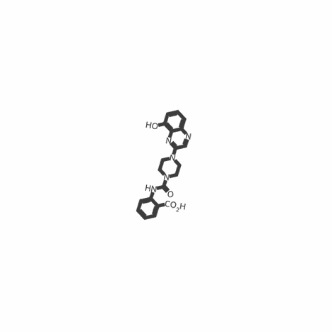 O=C(O)c1ccccc1NC(=O)N1CCN(c2cnc3cccc(O)c3n2)CC1